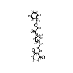 O=C1CCCC(=O)N1CCCN1CC2CC1CN2C(=O)COCc1ccccc1